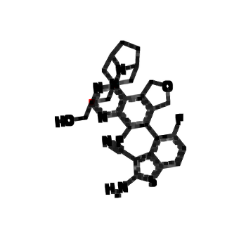 N#Cc1c(N)sc2ccc(F)c(-c3c4c(c5c(N6C7CCC6CN(CCCO)C7)ncnc5c3F)COC4)c12